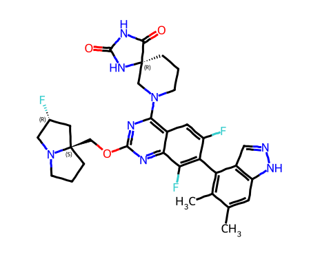 Cc1cc2[nH]ncc2c(-c2c(F)cc3c(N4CCC[C@]5(C4)NC(=O)NC5=O)nc(OC[C@@]45CCCN4C[C@H](F)C5)nc3c2F)c1C